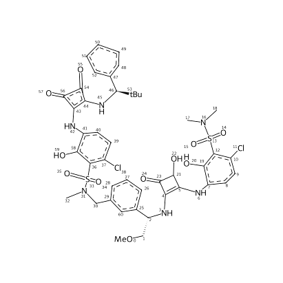 COC[C@@H](NC1=C(Nc2ccc(Cl)c(S(=O)(=O)N(C)C)c2O)C(O)C1=O)c1cccc(CN(C)S(=O)(=O)c2c(Cl)ccc(Nc3c(N[C@@H](c4ccccc4)C(C)(C)C)c(=O)c3=O)c2O)c1